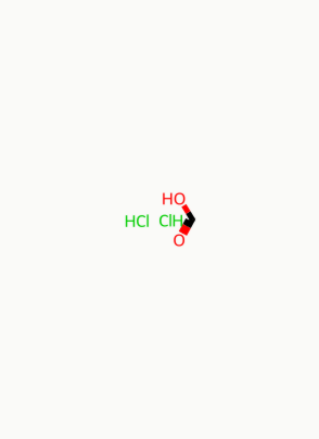 Cl.Cl.O=CO